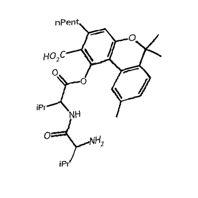 CCCCCc1cc2c(c(OC(=O)C(NC(=O)C(N)C(C)C)C(C)C)c1C(=O)O)-c1cc(C)ccc1C(C)(C)O2